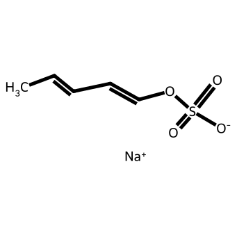 CC=CC=COS(=O)(=O)[O-].[Na+]